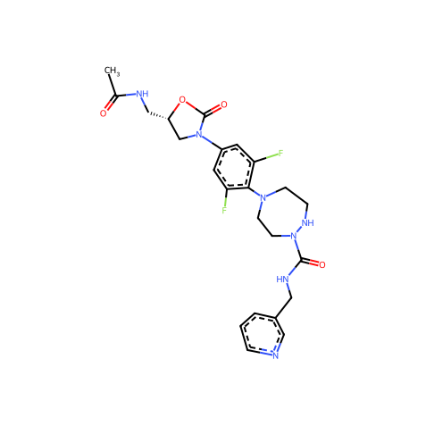 CC(=O)NC[C@H]1CN(c2cc(F)c(N3CCNN(C(=O)NCc4cccnc4)CC3)c(F)c2)C(=O)O1